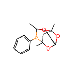 CC12CC3(C)OC(CC(C)(O1)P3c1ccccc1)O2